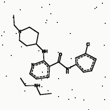 CCN1CCC(Nc2ncccc2C(=O)Nc2cccc(Cl)c2)CC1.CCNCC